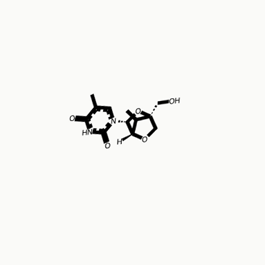 Cc1cn([C@@H]2O[C@@]3(CO)CO[C@H]2C3C)c(=O)[nH]c1=O